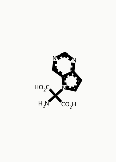 NC(C(=O)O)(C(=O)O)n1ccc2ncncc21